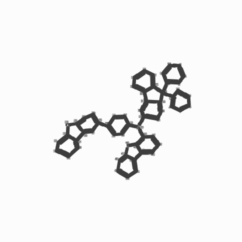 c1ccc(C2(c3ccccc3)c3ccccc3-c3cc(N(c4ccc(-c5ccc6oc7ccccc7c6c5)cc4)c4cccc5c4sc4ccccc45)ccc32)cc1